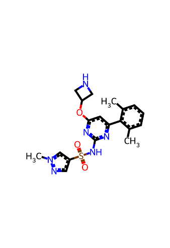 Cc1cccc(C)c1-c1cc(OC2CNC2)nc(NS(=O)(=O)c2cnn(C)c2)n1